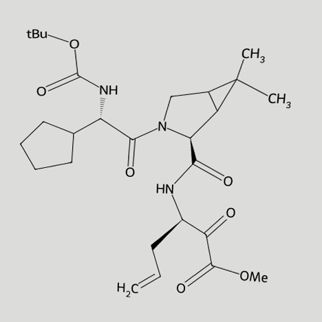 C=CC[C@@H](NC(=O)[C@@H]1C2C(CN1C(=O)[C@@H](NC(=O)OC(C)(C)C)C1CCCC1)C2(C)C)C(=O)C(=O)OC